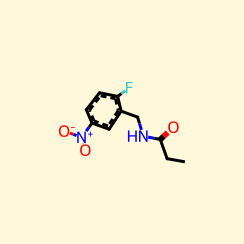 CCC(=O)NCc1cc([N+](=O)[O-])ccc1F